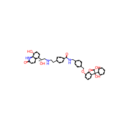 O=C(NCc1ccc(COc2cccc([C@](O)(C(=O)O)c3ccccc3)c2)cc1)c1ccc(CCNC[C@H](O)c2ccc(O)c3[nH]c(=O)ccc23)cc1